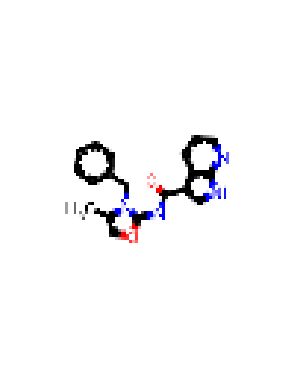 Cc1coc(=NC(=O)c2c[nH]c3ncccc23)n1Cc1ccccc1